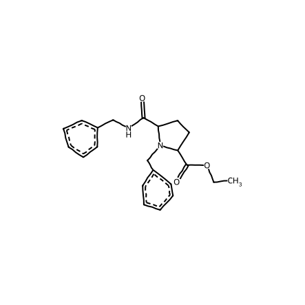 CCOC(=O)C1CCC(C(=O)NCc2ccccc2)N1Cc1ccccc1